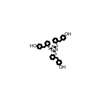 Oc1ccc(Cc2ccccc2Sc2nc(Sc3ccccc3Cc3ccc(O)cc3)nc(Sc3ccccc3Cc3ccc(O)cc3)n2)cc1